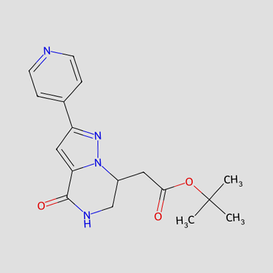 CC(C)(C)OC(=O)CC1CNC(=O)c2cc(-c3ccncc3)nn21